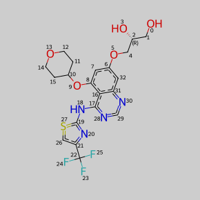 OC[C@@H](O)COc1cc(OC2CCOCC2)c2c(Nc3nc(C(F)(F)F)cs3)ncnc2c1